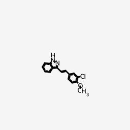 COc1ccc(C=Cc2n[nH]c3ccccc23)cc1Cl